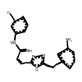 N=C(/C=C\c1nnc(Cc2cccc(N)c2)[nH]1)Nc1cccc(Cl)c1